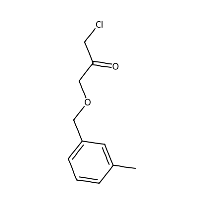 Cc1cccc(COCC(=O)CCl)c1